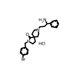 Cl.NC(CCN1CCC2(CC1)CCN(Cc1ccc(Br)cc1)C2=O)c1ccccc1